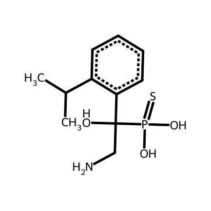 CC(C)c1ccccc1C(O)(CN)P(O)(O)=S